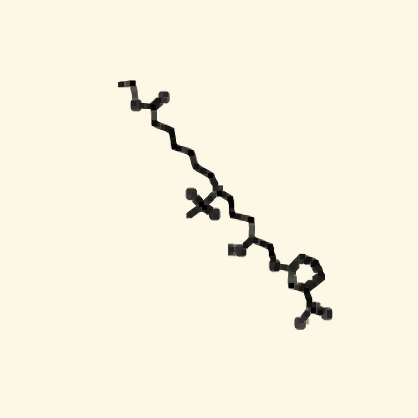 CCOC(=O)CCCCCCN(CCCC(O)COc1cccc([N+](=O)[O-])c1)S(C)(=O)=O